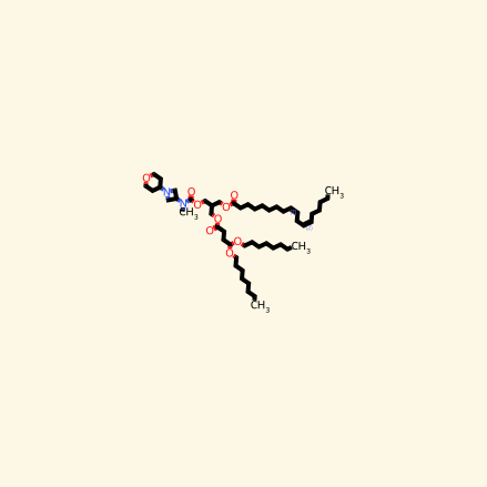 CCCCC/C=C\C/C=C\CCCCCCCC(=O)OCC(COC(=O)CCC(OCCCCCCCC)OCCCCCCCC)COC(=O)N(C)C1CN(C2CCOCC2)C1